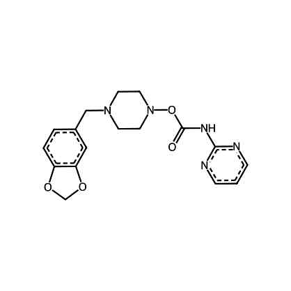 O=C(Nc1ncccn1)ON1CCN(Cc2ccc3c(c2)OCO3)CC1